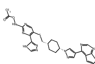 O=C(ONc1ncc(SC[C@H]2CC[C@@H](n3cc(-c4ncnc5[nH]ccc45)cn3)CC2)c(-c2nnc[nH]2)n1)C(F)(F)F